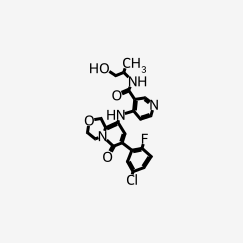 CC(CO)NC(=O)c1cnccc1Nc1cc(-c2cc(Cl)ccc2F)c(=O)n2c1COCC2